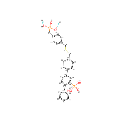 O=P(Cc1ccc(CSCc2ccc(-c3ccc(-c4ccccc4)c(P(=O)(O)O)c3)cc2)cc1)(OF)OF